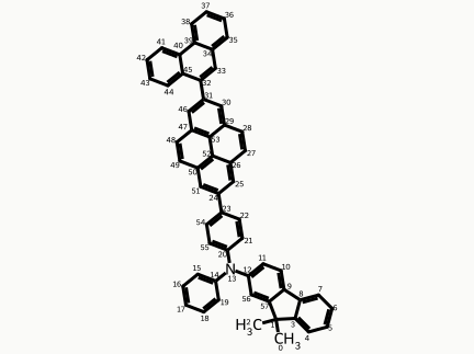 CC1(C)c2ccccc2-c2ccc(N(c3ccccc3)c3ccc(-c4cc5ccc6cc(-c7cc8ccccc8c8ccccc78)cc7ccc(c4)c5c67)cc3)cc21